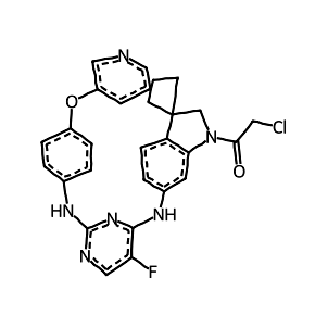 O=C(CCl)N1CC2(CCC2)c2ccc(Nc3nc(Nc4ccc(Oc5cccnc5)cc4)ncc3F)cc21